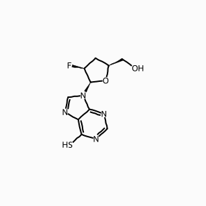 OC[C@@H]1C[C@H](F)[C@H](n2cnc3c(S)ncnc32)O1